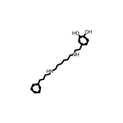 Oc1ccc(CCNCCCCCCNCCCCc2ccccc2)cc1O